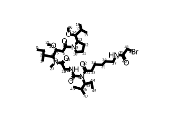 CCC(C)C(C(CC(=O)N1CCCC1C(OC)C(C)C)OC)N(C)C(=O)CNC(=O)N(C(=O)CCCCCNC(=O)CBr)C(CC)C(C)C